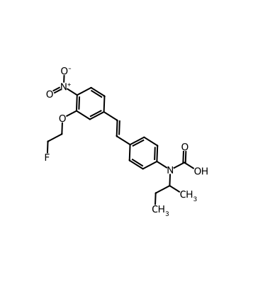 CCC(C)N(C(=O)O)c1ccc(/C=C/c2ccc([N+](=O)[O-])c(OCCF)c2)cc1